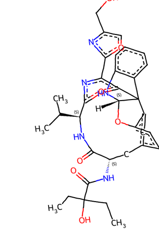 CCC(O)(CC)C(=O)N[C@H]1Cc2ccc3c(c2)C2(c4ccccc4N[C@H]2O3)c2oc(nc2-c2nc(CO)co2)[C@H](C(C)C)NC1=O